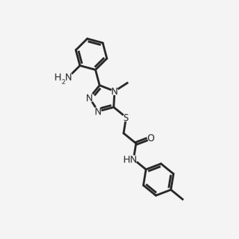 Cc1ccc(NC(=O)CSc2nnc(-c3ccccc3N)n2C)cc1